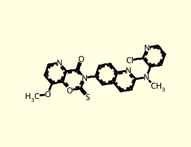 COc1ccnc2c(=O)n(-c3ccc4nc(N(C)c5cccnc5Cl)ccc4c3)c(=S)oc12